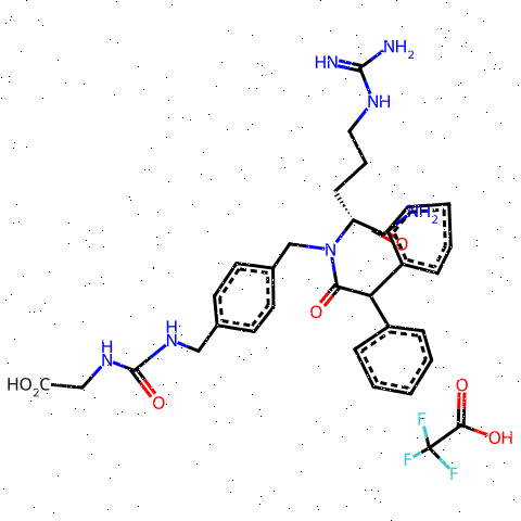 N=C(N)NCCC[C@H](C(N)=O)N(Cc1ccc(CNC(=O)NCC(=O)O)cc1)C(=O)C(c1ccccc1)c1ccccc1.O=C(O)C(F)(F)F